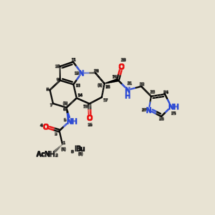 CC[C@H](C)[C@H](NC(C)=O)C(=O)N[C@H]1CCc2ccn3c2C1C(=O)C[C@H](C(=O)NCc1c[nH]cn1)C3